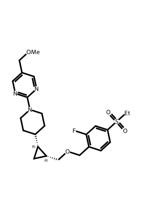 CCS(=O)(=O)c1ccc(COC[C@@H]2C[C@@H]2C2CCN(c3ncc(COC)cn3)CC2)c(F)c1